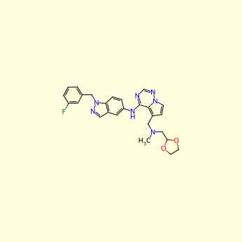 CN(Cc1ccn2ncnc(Nc3ccc4c(cnn4Cc4cccc(F)c4)c3)c12)CC1OCCO1